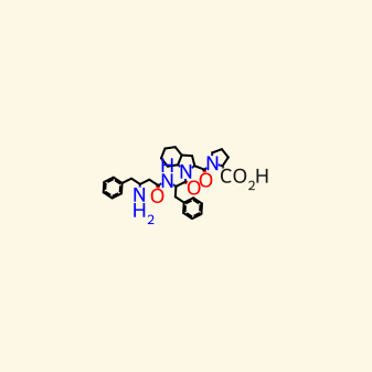 NC(CC(=O)NC(Cc1ccccc1)C(=O)N1C(C(=O)N2CCCC2C(=O)O)CC2CCCCC21)Cc1ccccc1